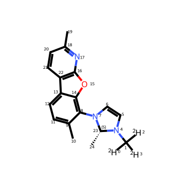 [2H]C([2H])([2H])N1C=CN(c2c(C)ccc3c2oc2nc(C)ccc23)[C@H]1C